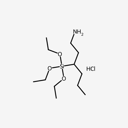 CCCC(CCN)[Si](OCC)(OCC)OCC.Cl